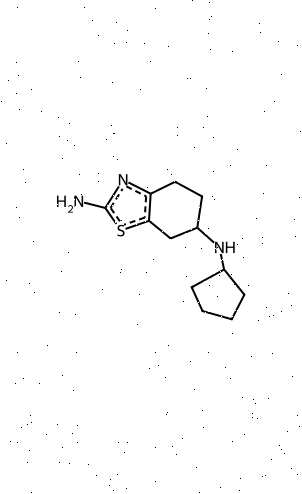 Nc1nc2c(s1)CC(NC1CCCC1)CC2